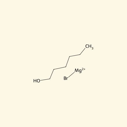 CCCCCCO.[Mg+2][Br]